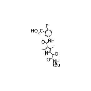 Cc1c(C(=O)Nc2ccc(F)c(C(=O)O)c2)c(C)n(C)c1C(=O)C(=O)NC(C)(C)C